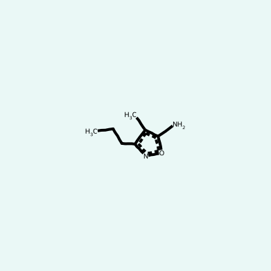 CCCc1noc(N)c1C